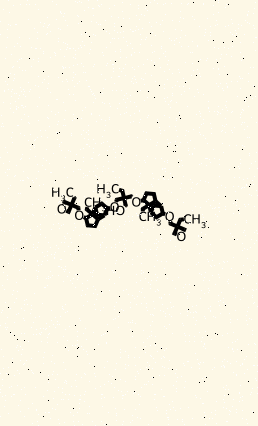 CCC1(COC2CC3CC2C2CCC(OCC(CC)(CO)COC4CC5CC4C4CCC(OCC6(CC)COC6)C54CC)C32CC)COC1